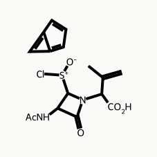 C=C(C)C(C(=O)O)N1C(=O)C(NC(C)=O)C1[S+]([O-])Cl.c1cc2cc-2c1